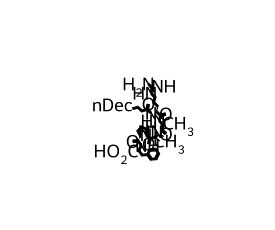 CCCCCCCCCCCCCC(=O)N[C@@H](CCCNC(=N)N)C(=O)N[C@@H](C)C(=O)N[C@@H](C)C(=O)N1CCC[C@H]1C(=O)N[C@@H](Cc1ccccc1)C(=O)O